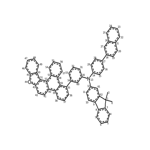 CC1(C)c2ccccc2-c2ccc(N(c3ccc(-c4ccc5ccccc5c4)cc3)c3cccc(-c4cccc5c6ccc7oc8ccccc8c7c6c6ccccc6c45)c3)cc21